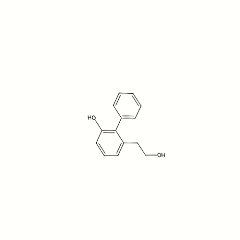 OCCc1cccc(O)c1-c1ccccc1